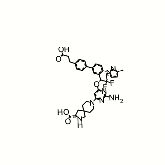 Cc1ccn(-c2ccc(-c3ccc(CCC(=O)O)cc3)cc2C(Oc2cc(N3CCC4(CC3)CN[C@H](C(=O)O)C4)nc(N)n2)C(F)(F)F)n1